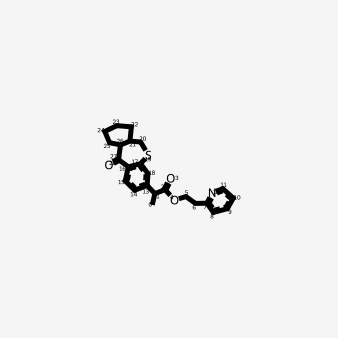 CC(C(=O)OCCc1ccccn1)c1ccc2c(c1)SCC1CCCCC1C2=O